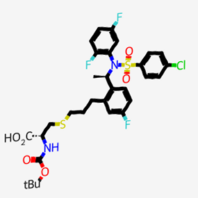 C[C@H](c1ccc(F)cc1CCCSC[C@H](NC(=O)OC(C)(C)C)C(=O)O)N(c1cc(F)ccc1F)S(=O)(=O)c1ccc(Cl)cc1